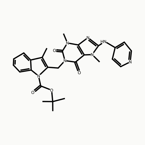 Cc1c(Cn2c(=O)c3c(nc(Nc4ccncc4)n3C)n(C)c2=O)n(C(=O)OC(C)(C)C)c2ccccc12